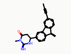 C=C1c2ccc(C#CC)cc2-c2cc(C3CC(=O)N(C)C(=N)N3)ccc21